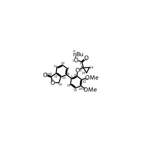 CCCCOC(=O)C1(Oc2c(-c3cccc4c3COC4=O)ccc(OC)c2OC)CC1